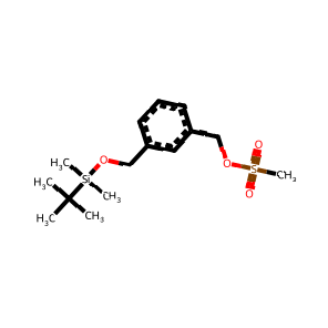 CC(C)(C)[Si](C)(C)OCc1cccc(COS(C)(=O)=O)c1